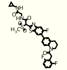 CS(=O)(=O)C(C(=O)NCC(=O)NC1CC1)c1nc2cc(F)c(-c3ccc4c(c3)CCCN4C(=O)Cc3c(F)cccc3F)cc2s1